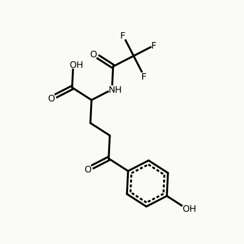 O=C(CCC(NC(=O)C(F)(F)F)C(=O)O)c1ccc(O)cc1